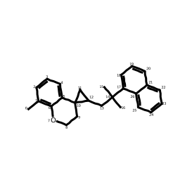 Cc1cccc2c1OCCC21CC1CC(C)(C)c1cccc2ccccc12